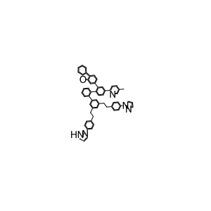 Cc1ccc(-c2ccc(-c3ccccc3-c3cc(CCc4ccc(N5C=CCN5)cc4)cc(CCc4ccc(-n5cccn5)cc4)c3)c(-c3ccc4c(c3)oc3ccccc34)c2)nc1